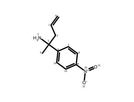 C=CCC(C)(N)c1ccc([N+](=O)[O-])cc1